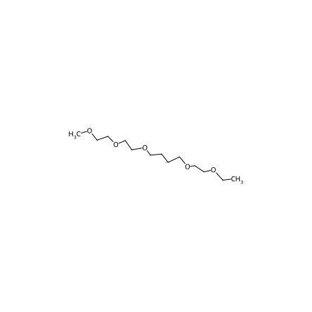 CCOCCOC[CH]CCOCCOCCOC